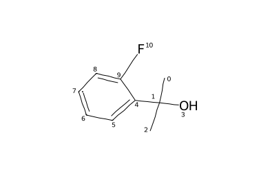 CC(C)(O)c1cc[c]cc1F